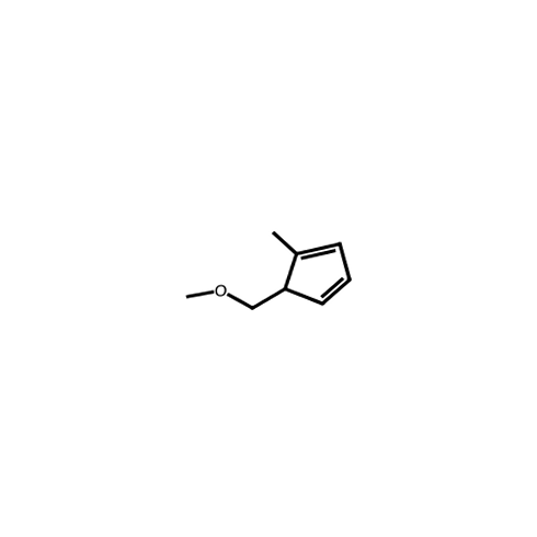 COCC1C=CC=C1C